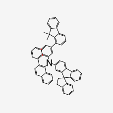 CC1(C)c2ccccc2-c2cccc(-c3cccc(N(c4ccc5c(c4)C4(CCc6ccccc64)c4ccccc4-5)c4c(-c5ccccc5)ccc5ccccc45)c3)c21